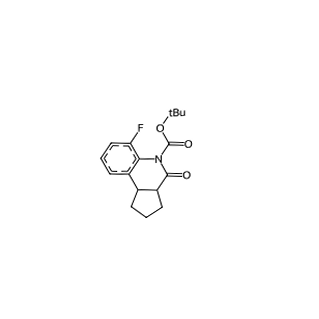 CC(C)(C)OC(=O)N1C(=O)C2CCCC2c2cccc(F)c21